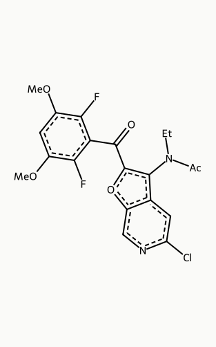 CCN(C(C)=O)c1c(C(=O)c2c(F)c(OC)cc(OC)c2F)oc2cnc(Cl)cc12